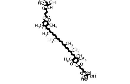 CC1=C(/C=C/C(C)=C/C=C/C(C)=C/C=C/C=C(C)/C=C/C=C(C)/C=C/C2=C(C)C(=O)C(OC(=O)CCC(=O)NC(CO)(CO)CO)CC2(C)C)C(C)(C)CC(OC(=O)CCC(=O)NC(CO)(CO)CO)C1=O